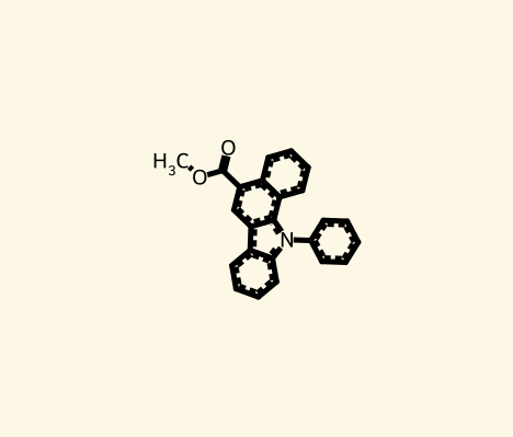 COC(=O)c1cc2c3ccccc3n(-c3ccccc3)c2c2ccccc12